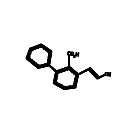 N#CC=Cc1cccc(-c2ccccc2)c1C(=O)O